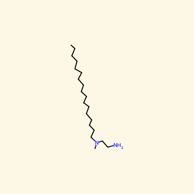 CCCCCCCCCCCCCCCCCN(C)CCN